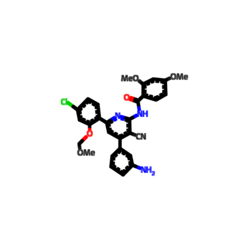 COCOc1cc(Cl)ccc1-c1cc(-c2cccc(N)c2)c(C#N)c(NC(=O)c2ccc(OC)cc2OC)n1